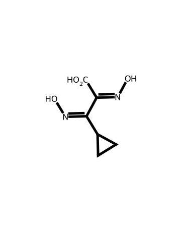 O=C(O)C(=NO)C(=NO)C1CC1